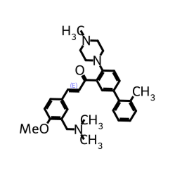 COc1ccc(/C=C/C(=O)c2cc(-c3ccccc3C)ccc2N2CCN(C)CC2)cc1CN(C)C